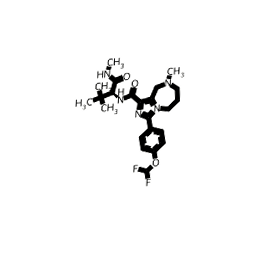 CNC(=O)[C@@H](NC(=O)c1nc(-c2ccc(OC(F)F)cc2)n2c1CN(C)CCC2)C(C)(C)C